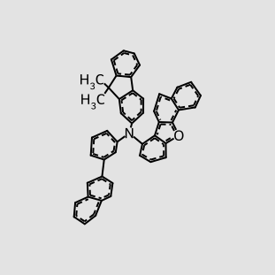 CC1(C)c2ccccc2-c2ccc(N(c3cccc(-c4ccc5ccccc5c4)c3)c3cccc4oc5c6ccccc6ccc5c34)cc21